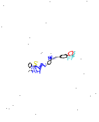 CC(C)c1ccccc1NC(=S)NN=Cc1ccc2c(/C=C/c3ccc(OC(F)(F)F)cc3)nn(C)c2c1